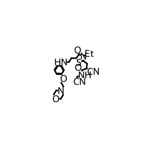 CCN1C(=O)C(CCNc2cccc(OCCN3CCOCC3)c2)SC1CC(C#N)C(=O)NCC#N